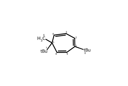 CC(C)(C)C1=CC=CC(C)(C(C)(C)C)C=C1